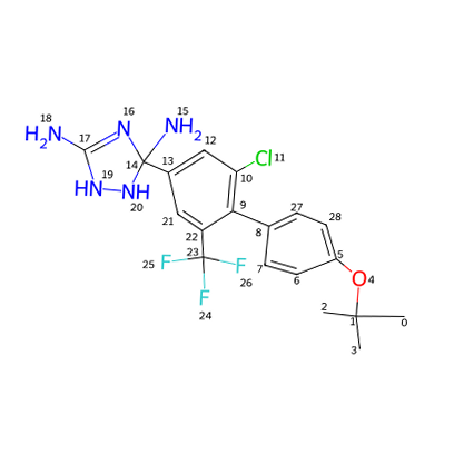 CC(C)(C)Oc1ccc(-c2c(Cl)cc(C3(N)N=C(N)NN3)cc2C(F)(F)F)cc1